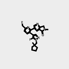 CN1Cc2ncc(-c3nc(CF)ccc3-c3cnn(CC4(C)CCCC4)c3F)cc2C1=O